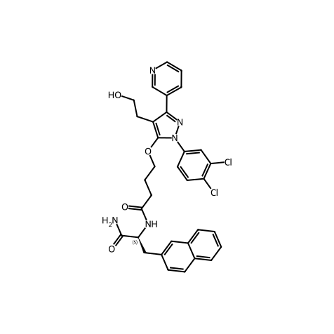 NC(=O)[C@H](Cc1ccc2ccccc2c1)NC(=O)CCCOc1c(CCO)c(-c2cccnc2)nn1-c1ccc(Cl)c(Cl)c1